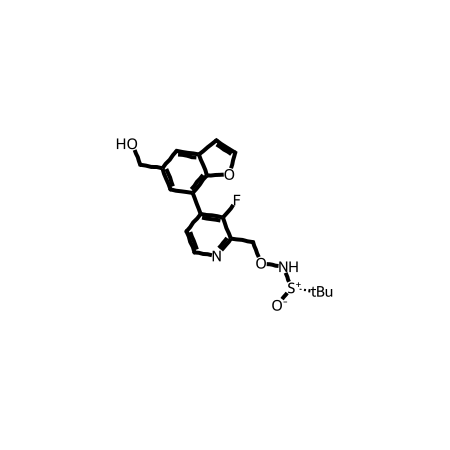 CC(C)(C)[S@+]([O-])NOCc1nccc(-c2cc(CO)cc3ccoc23)c1F